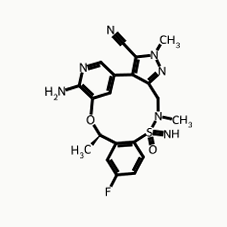 C[C@H]1Oc2cc(cnc2N)-c2c(nn(C)c2C#N)CN(C)S(=N)(=O)c2ccc(F)cc21